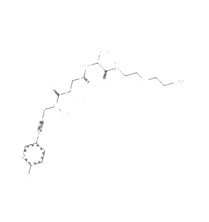 COCCOCCNC(=O)[C@@H](NC(=O)C[C@H](O)C(=O)N(O)CC#Cc1ccc(Cl)cc1)C(C)(C)C